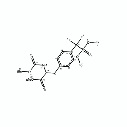 CCOP(=O)(OCC)C(F)(F)c1ccc(CC(NC(=O)OC(C)(C)C)C(=O)OC)cc1